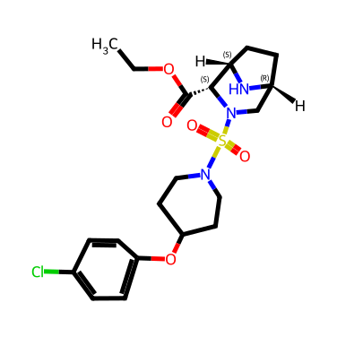 CCOC(=O)[C@@H]1[C@@H]2CC[C@H](CN1S(=O)(=O)N1CCC(Oc3ccc(Cl)cc3)CC1)N2